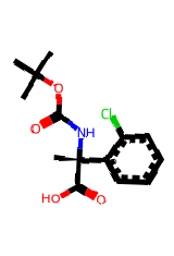 CC(C)(C)OC(=O)N[C@@](C)(C(=O)O)c1ccccc1Cl